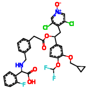 O=C(Cc1cccc(CNC(C(=O)O)c2ccccc2F)c1)OC(Cc1c(Cl)c[n+]([O-])cc1Cl)c1ccc(OC(F)F)c(OCC2CC2)c1